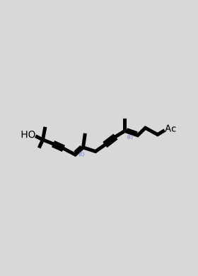 CC(=O)CC/C=C(\C)C#CC/C(C)=C/C#CC(C)(C)O